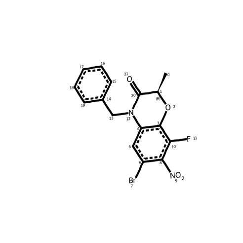 C[C@H]1Oc2c(cc(Br)c([N+](=O)[O-])c2F)N(Cc2ccccc2)C1=O